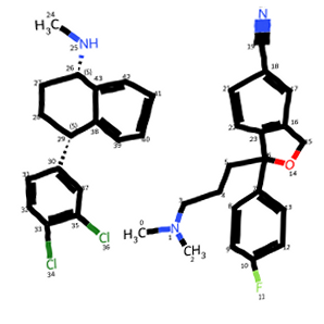 CN(C)CCCC1(c2ccc(F)cc2)OCc2cc(C#N)ccc21.CN[C@H]1CC[C@@H](c2ccc(Cl)c(Cl)c2)c2ccccc21